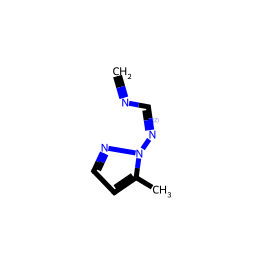 C=N/C=N\n1nccc1C